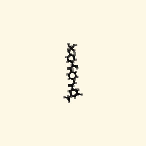 Cc1cc(N(C)C)nc(NCC2CCC(NC(=O)c3ccc(OC(F)(F)F)cc3)CC2)n1